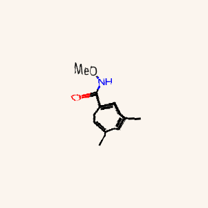 CONC(=O)c1cc(C)cc(C)c1